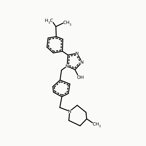 CC1CCN(Cc2ccc(Cn3c(O)nnc3-c3cccc(C(C)C)c3)cc2)CC1